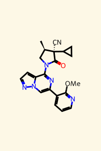 COc1ncccc1-c1cn2nccc2c(N2C[C@@H](C)[C@@](C#N)(C3CC3)C2=O)n1